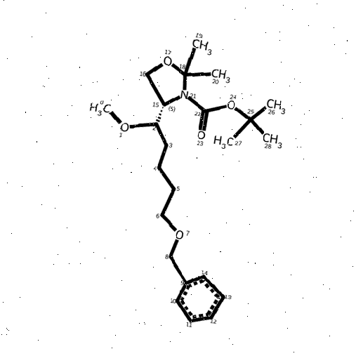 COC(CCCCOCc1ccccc1)[C@@H]1COC(C)(C)N1C(=O)OC(C)(C)C